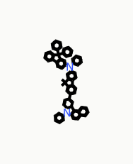 CC1(C)c2cc(C3=CC4c5c(ccc6ccccc56)N(c5ccccc5)C4C=C3)ccc2-c2ccc(N(c3ccccc3)c3ccc4c(c3)C(c3ccccc3)(c3ccccc3)c3ccccc3-4)cc21